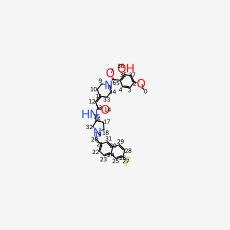 COc1ccc(C(=O)N2CCC(=CC(=O)NC3CCN(Cc4ccc5cc(F)ccc5c4)C3)CC2)c(O)c1